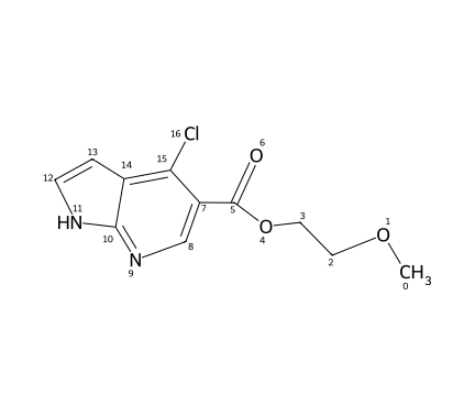 COCCOC(=O)c1cnc2[nH]ccc2c1Cl